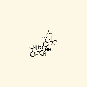 C=CC(=O)Nc1cc(Nc2cc(Nc3ccccc3C(C)=N)ccn2)c(OC)cc1N(C)CCN(C)C